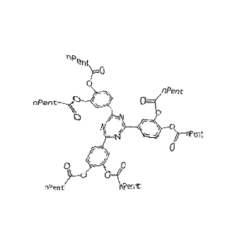 CCCCCC(=O)Oc1ccc(-c2nc(-c3ccc(OC(=O)CCCCC)c(OC(=O)CCCCC)c3)nc(-c3ccc(OC(=O)CCCCC)c(OC(=O)CCCCC)c3)n2)cc1OC(=O)CCCCC